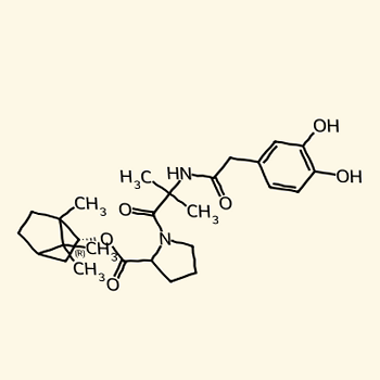 CC(C)(NC(=O)Cc1ccc(O)c(O)c1)C(=O)N1CCCC1C(=O)O[C@@H]1CC2CCC1(C)C2(C)C